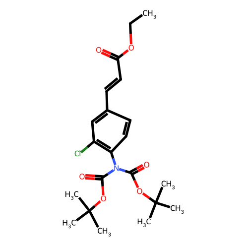 CCOC(=O)/C=C/c1ccc(N(C(=O)OC(C)(C)C)C(=O)OC(C)(C)C)c(Cl)c1